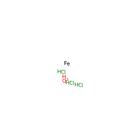 Cl.Cl.Cl.O.[Fe]